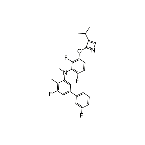 Cc1c(F)cc(-c2cccc(F)c2)cc1N(C)c1c(F)ccc(OC2=NC=C2C(C)C)c1F